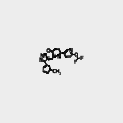 CC1C=CC=C(c2nnnn2Cn2nc(-c3ccc(OC(F)F)nc3)ccc2=O)C1